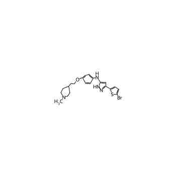 CN1CCC(CCOc2ccc(Nc3cc(-c4ccc(Br)s4)n[nH]3)cc2)CC1